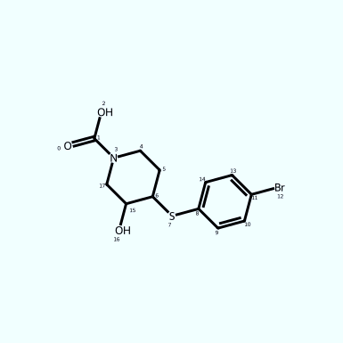 O=C(O)N1CCC(Sc2ccc(Br)cc2)C(O)C1